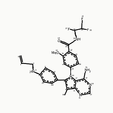 C=CCNc1ccc(-c2c(C)c3ncnc(N)c3n2-c2ccc(C(=O)NC(F)C(F)F)c(OC)c2)cc1